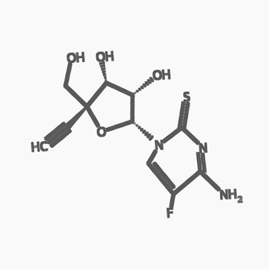 C#C[C@]1(CO)O[C@@H](n2cc(F)c(N)nc2=S)[C@@H](O)[C@H]1O